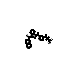 CC(C)(Nc1cccc(NC(=O)c2ccccc2NC(=O)c2ccc3ccccc3c2)c1)C(=O)O